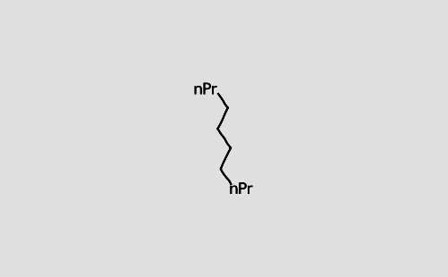 [CH]CCCCCCCCC